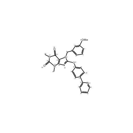 COc1cccc(Cn2c(Oc3ccc(-c4ccccn4)cc3)nc3c2c(=O)n(C)c(=O)n3C)c1